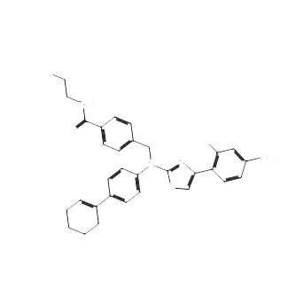 Cc1ccc(-c2csc(N(Cc3ccc(C(=O)NCCC(=O)O)cc3)c3ccc(C4=CCCCC4)cc3)n2)c(C)c1